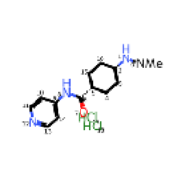 CNN[C@H]1CC[C@H](C(=O)Nc2ccncc2)CC1.Cl.Cl